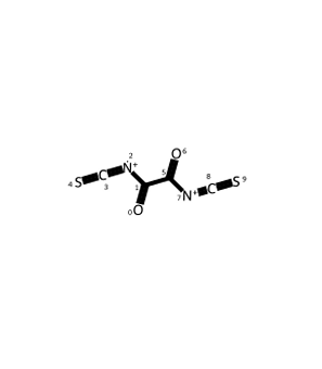 O=C([N+]=C=S)C(=O)[N+]=C=S